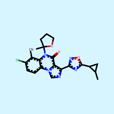 CC1CC1c1nc(-c2ncn3c2c(=O)n(C2(C)CCCO2)c2c(C#N)c(Cl)ccc23)no1